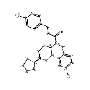 O=C(C=Cc1ccc(C(F)(F)F)cc1)N(Cc1ccc(Br)cc1)C1CCN(C2CCCC2)CC1